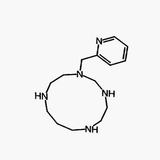 c1ccc(CN2CCNCCCNCCNC2)nc1